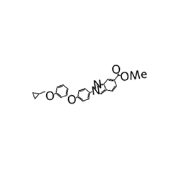 COC(=O)c1ccc2cn(-c3ccc(Oc4cccc(OCC5CC5)c4)cc3)nc2c1